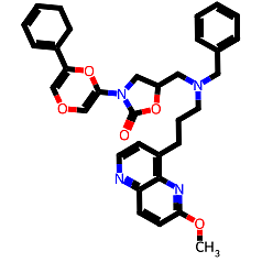 COc1ccc2nccc(CCCN(Cc3ccccc3)CC3CN(C4=COC=C(C5=CC=CCC5)O4)C(=O)O3)c2n1